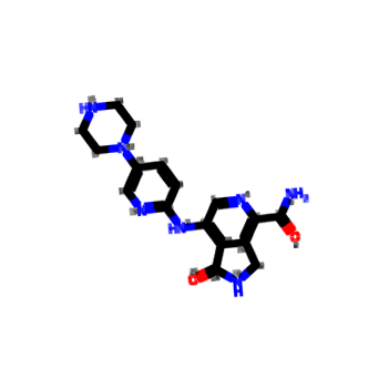 NC(=O)c1ncc(Nc2ccc(N3CCNCC3)cn2)c2c1CNC2=O